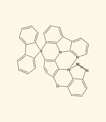 c1ccc2c(c1)-c1ccccc1[Si]21c2ccc3c4c2-n2c5c1cccc5c1ccc[n+](c12)[N+]41c2c(cccc2-c2nccc[n+]21)O3